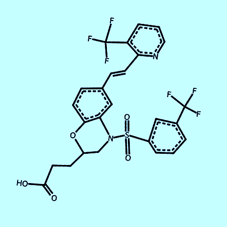 O=C(O)CCC1CN(S(=O)(=O)c2cccc(C(F)(F)F)c2)c2cc(C=Cc3ncccc3C(F)(F)F)ccc2O1